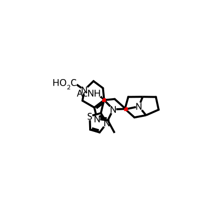 CC(=O)N[C@@H](CCN1C2CCC1CC(n1c(C)nc3c1CCN(C(=O)O)C3)C2)c1nccs1